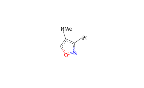 CNc1conc1C(C)C